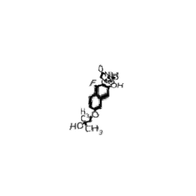 CC(C)(O)CCOc1ccc2c(F)c(N3CC(=O)NS3(=O)=O)c(O)cc2c1